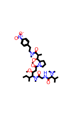 CCC(C)C(C(CC(=O)N1CCCC1C(OC)C(C)C(=O)N(C)CCc1ccc([N+](=O)[O-])cc1)OC)N(C)C(=O)CNC(=O)C(C(C)C)N(C)C